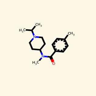 Cc1ccc(C(=O)N(C)C2CCN(C(C)C)CC2)cc1